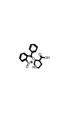 O=C(O)C1CCNCC1.O=C(c1ccccc1)c1ccccc1[N+](=O)[O-]